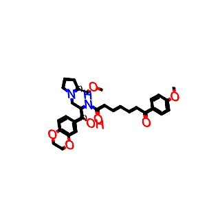 COC[C@@H]1CCCN1CC(NC(=O)CCCCCC(=O)c1ccc(OC)cc1)[C@@H](O)c1ccc2c(c1)OCCO2